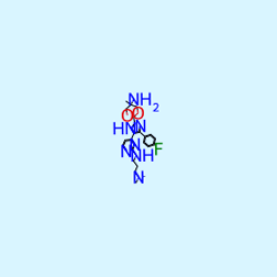 CN(C)CCCNc1nccc(-c2[nH]c(C3OCC(C)(N)CO3)nc2-c2ccc(F)cc2)n1